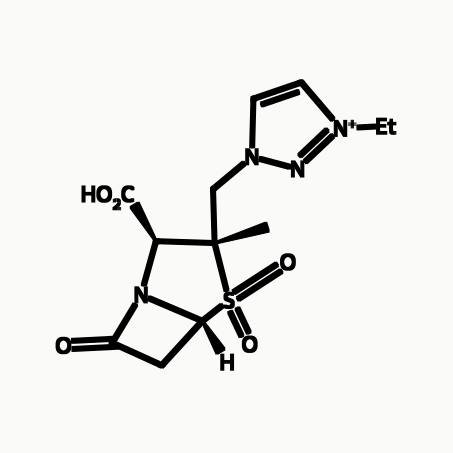 CC[n+]1ccn(C[C@@]2(C)[C@H](C(=O)O)N3C(=O)C[C@H]3S2(=O)=O)n1